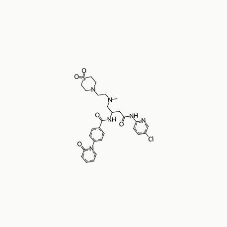 CN(CCN1CCS(=O)(=O)CC1)CC(CC(=O)Nc1ccc(Cl)cn1)NC(=O)c1ccc(-n2ccccc2=O)cc1